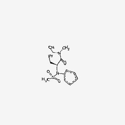 CC(C)C[C@@H](C(=O)N(C)CC#N)N(c1ccccc1)S(C)(=O)=O